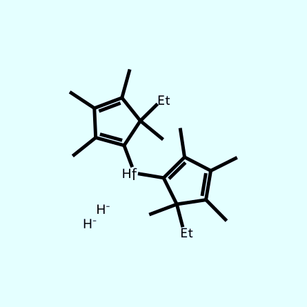 CCC1(C)C(C)=C(C)C(C)=[C]1[Hf][C]1=C(C)C(C)=C(C)C1(C)CC.[H-].[H-]